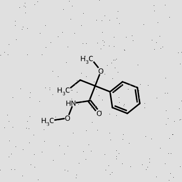 CCC(OC)(C(=O)NOC)c1ccccc1